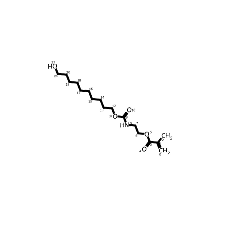 C=C(C)C(=O)OCCNC(=O)OCCCCCCCCCCO